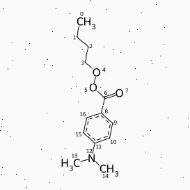 CCCCOOC(=O)c1ccc(N(C)C)cc1